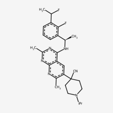 Cc1nc(N[C@H](C)c2cccc(C(C)F)c2F)c2cc(C3(C#N)CCN(C(C)C)CC3)c(C)nc2n1